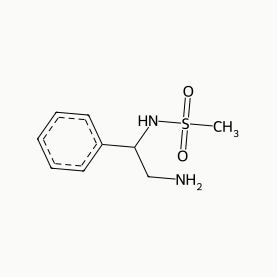 CS(=O)(=O)NC(CN)c1ccccc1